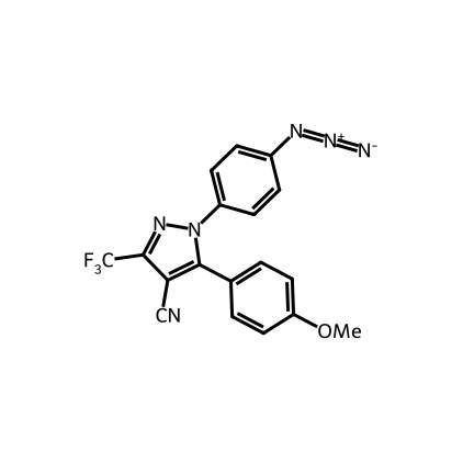 COc1ccc(-c2c(C#N)c(C(F)(F)F)nn2-c2ccc(N=[N+]=[N-])cc2)cc1